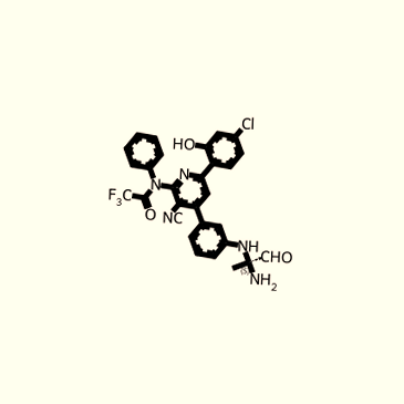 C[C@@](N)(C=O)Nc1cccc(-c2cc(-c3ccc(Cl)cc3O)nc(N(C(=O)C(F)(F)F)c3ccccc3)c2C#N)c1